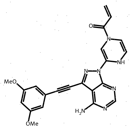 C=CC(=O)N1C=CNC(n2nc(C#Cc3cc(OC)cc(OC)c3)c3c(N)ncnc32)=C1